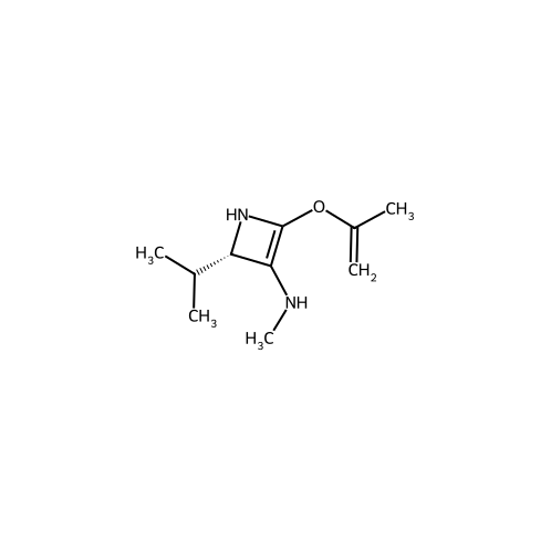 C=C(C)OC1=C(NC)[C@H](C(C)C)N1